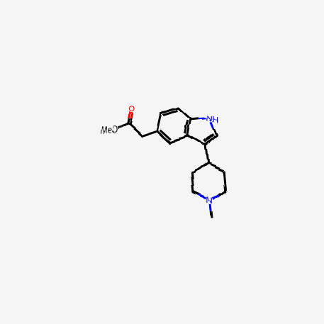 COC(=O)Cc1ccc2[nH]cc(C3CCN(C)CC3)c2c1